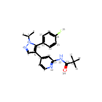 CC(C)n1ncc(-c2ccnc(NC(=O)C(C)(C)C)c2)c1-c1ccc(F)cc1